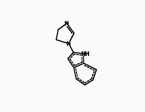 C1=NCCN1c1cc2ccccc2[nH]1